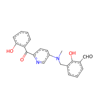 CN(Cc1cccc(C=O)c1O)c1ccc(C(=O)c2ccccc2O)nc1